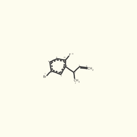 C=C[C](C)c1cc(Br)ccc1F